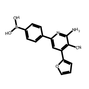 N#Cc1c(-c2ccco2)cc(-c2ccc(B(O)O)cc2)nc1N